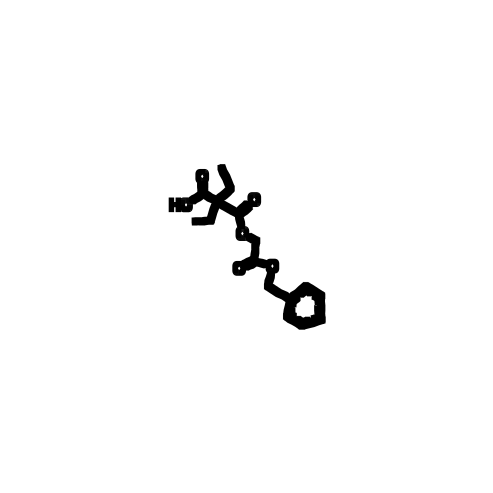 CCC(CC)(C(=O)O)C(=O)OCC(=O)OCc1ccccc1